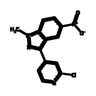 Cn1nc(-c2ccnc(Cl)c2)c2cc([N+](=O)[O-])ccc21